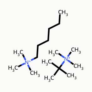 CC(C)(C)[N+](C)(C)C.CCCCCC[N+](C)(C)C